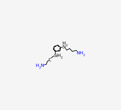 NCCCC[SiH2]c1cccc([SiH2]CCCCN)c1